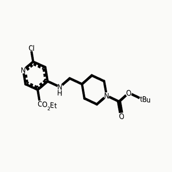 CCOC(=O)c1cnc(Cl)cc1NCC1CCN(C(=O)OC(C)(C)C)CC1